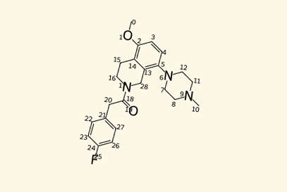 COc1ccc(N2CCN(C)CC2)c2c1CCN(C(=O)Cc1ccc(F)cc1)C2